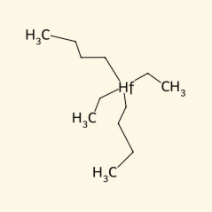 CCC[CH2][Hf]([CH2]C)([CH2]C)[CH2]CCC